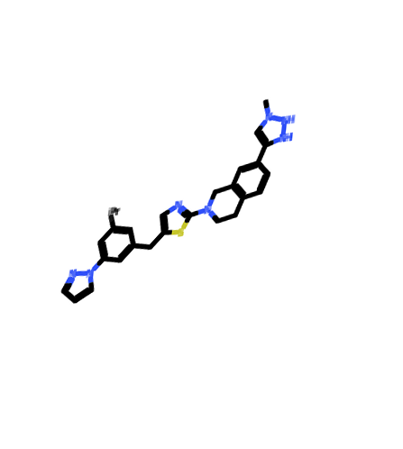 CC(C)c1cc(Cc2cnc(N3CCc4ccc(C5=CN(C)NN5)cc4C3)s2)cc(-n2cccn2)c1